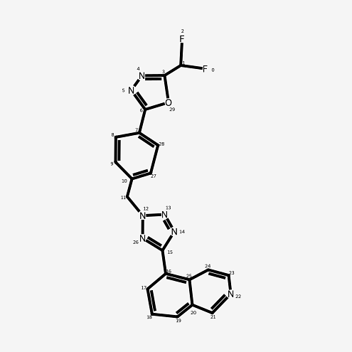 FC(F)c1nnc(-c2ccc(Cn3nnc(-c4cccc5cnccc45)n3)cc2)o1